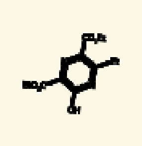 CCOC(=O)c1nc(C(=O)OCC)c(CC)nc1O